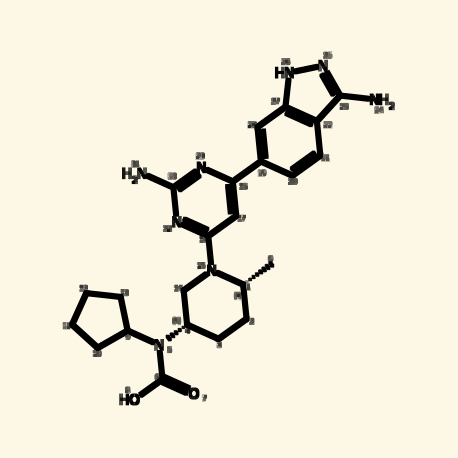 C[C@@H]1CC[C@H](N(C(=O)O)C2CCCC2)CN1c1cc(-c2ccc3c(N)n[nH]c3c2)nc(N)n1